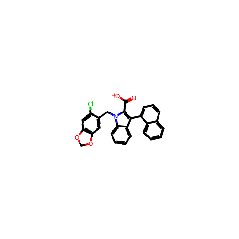 O=C(O)c1c(-c2cccc3ccccc23)c2ccccc2n1Cc1cc2c(cc1Cl)OCO2